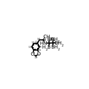 BC(B)(B)C(B)(B)N[C@H](C)Cc1ccc2c(c1)OCO2